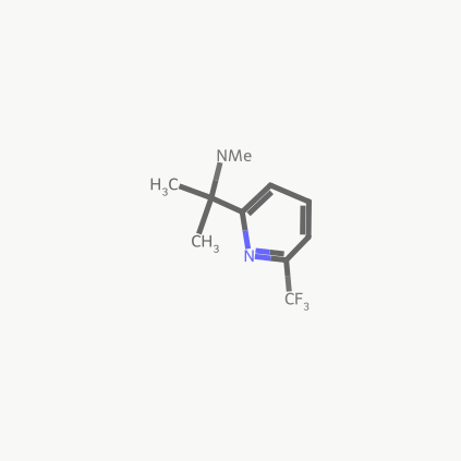 CNC(C)(C)c1cccc(C(F)(F)F)n1